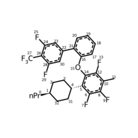 CCC[C@H]1CC[C@H](c2c(F)c(F)c(C)c(F)c2Oc2ccccc2-c2cc(F)c(C(F)(F)F)c(F)c2)CC1